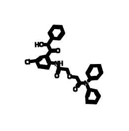 O=C(COCC(=O)N(c1ccccc1)c1ccccc1)Nc1ccc(Cl)cc1C(=O)C(O)c1ccccc1